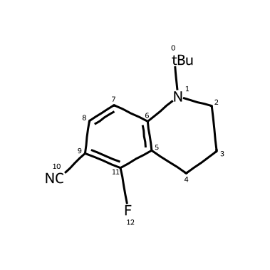 CC(C)(C)N1CCCc2c1ccc(C#N)c2F